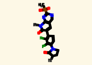 CCC1CCN(c2ccc(-c3cc4cnc(S(C)(=O)=O)nc4n(C(C)C)c3=O)c(F)c2F)C1=O